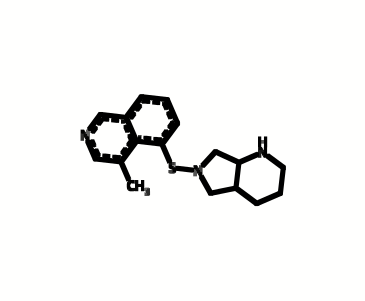 Cc1cncc2cccc(SN3CC4CCCNC4C3)c12